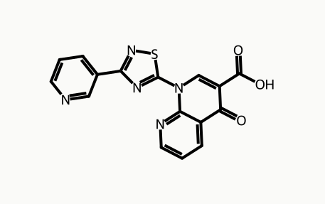 O=C(O)c1cn(-c2nc(-c3cccnc3)ns2)c2ncccc2c1=O